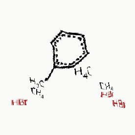 Br.Br.Br.C.C.C.Cc1ccccc1